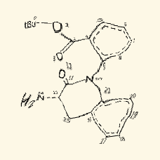 CC(C)(C)OC(=O)c1ccccc1N1C(=O)C(N)Cc2ccccc21